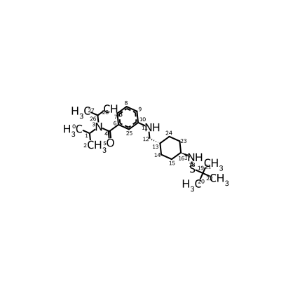 CC(C)N(C(=O)c1cccc(NC[C@H]2CC[C@H](NSC(C)(C)C)CC2)c1)C(C)C